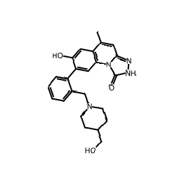 Cc1cc2n[nH]c(=O)n2c2cc(-c3ccccc3CN3CCC(CO)CC3)c(O)cc12